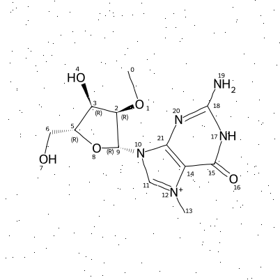 CO[C@@H]1[C@H](O)[C@@H](CO)O[C@H]1n1c[n+](C)c2c(=O)[nH]c(N)nc21